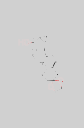 C[C@]12CCC3C4CCC5(CC4=CCC3C1C1CC1C2O)OCCO5